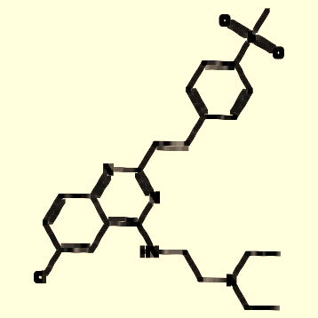 CCN(CC)CCNc1nc(C=Cc2ccc(S(C)(=O)=O)cc2)nc2ccc(Cl)cc12